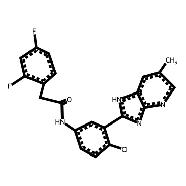 Cc1cnc2nc(-c3cc(NC(=O)Cc4ccc(F)cc4F)ccc3Cl)[nH]c2c1